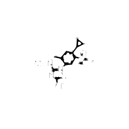 CNc1nc(C(F)(F)F)nn1-c1cc(S(=O)(=O)Cl)c(C2CC2)cc1Cl